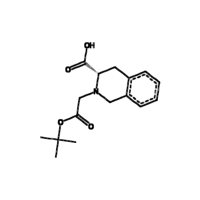 CC(C)(C)OC(=O)CN1Cc2ccccc2C[C@H]1C(=O)O